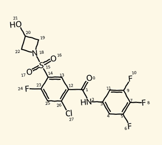 O=C(Nc1cc(F)c(F)c(F)c1)c1cc(S(=O)(=O)N2CC(O)C2)c(F)cc1Cl